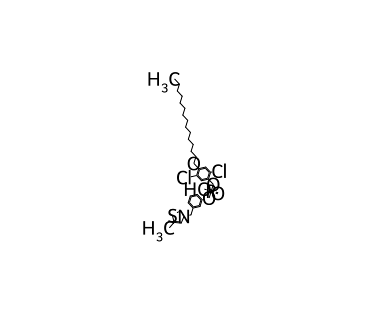 CCCCCCCCCCCCCCOc1cc(Cl)c(OP(=O)(O)Oc2cccc(CN3C=C(C)SC3)c2)cc1Cl